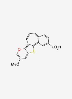 COC1=COc2c3c(sc2=C1)=c1cc(C(=O)O)ccc1=CC=C3